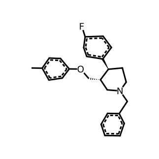 Cc1ccc(OC[C@H]2CN(Cc3ccccc3)CC[C@@H]2c2ccc(F)cc2)cc1